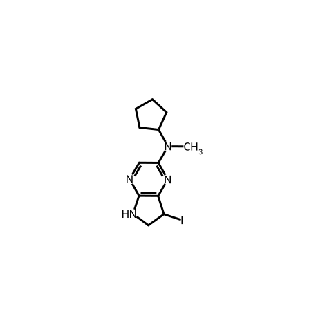 CN(c1cnc2c(n1)C(I)CN2)C1CCCC1